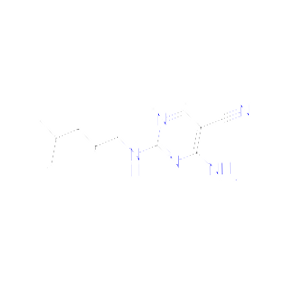 C[C](C)CCCNc1ncc(C#N)c(N)n1